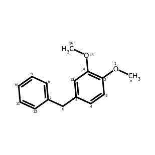 COc1[c]cc(Cc2ccccc2)cc1OC